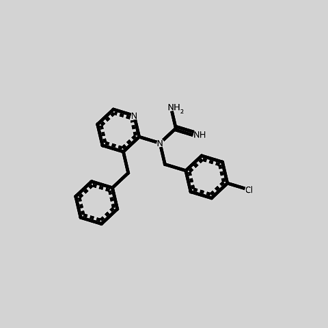 N=C(N)N(Cc1ccc(Cl)cc1)c1ncccc1Cc1ccccc1